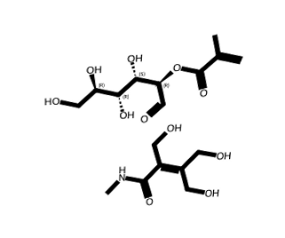 C=C(C)C(=O)O[C@@H](C=O)[C@@H](O)[C@H](O)[C@H](O)CO.CNC(=O)C(CO)=C(CO)CO